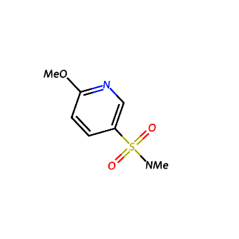 CNS(=O)(=O)c1ccc(OC)nc1